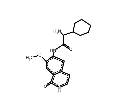 COc1cc2c(=O)[nH]ccc2cc1NC(=O)C(N)C1CCCCC1